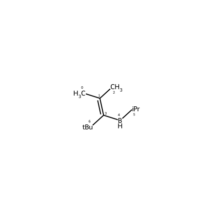 CC(C)=C(BC(C)C)C(C)(C)C